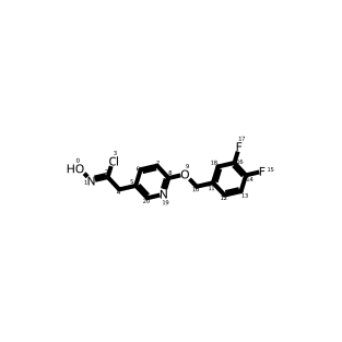 O/N=C(\Cl)Cc1ccc(OCc2ccc(F)c(F)c2)nc1